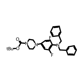 CC(C)(C)OC(=O)N1CCN(c2cc(F)c(N(Cc3ccccc3)Cc3ccccc3)c(F)c2)CC1